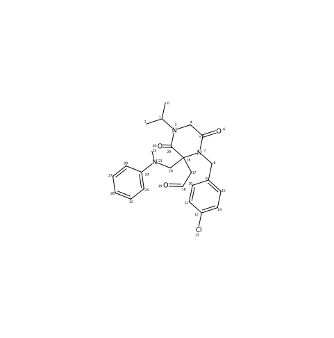 CC(C)N1CC(=O)N(Cc2ccc(Cl)cc2)C(CC=O)(CN(C)c2ccccc2)C1=O